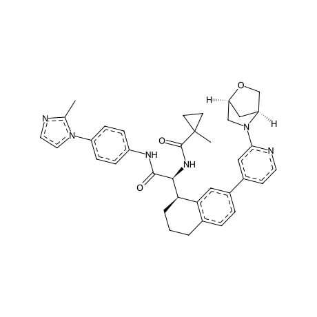 Cc1nccn1-c1ccc(NC(=O)[C@@H](NC(=O)C2(C)CC2)[C@@H]2CCCc3ccc(-c4ccnc(N5C[C@@H]6C[C@H]5CO6)c4)cc32)cc1